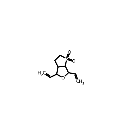 C=CC1OC(C=C)C2C1CCS2(=O)=O